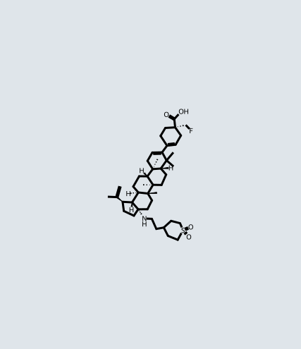 C=C(C)[C@@H]1CC[C@]2(NCCC3CCS(=O)(=O)CC3)CC[C@]3(C)[C@H](CC[C@@H]4[C@@]5(C)CC=C(C6=CC[C@](CF)(C(=O)O)CC6)C(C)(C)[C@@H]5CC[C@]43C)[C@@H]12